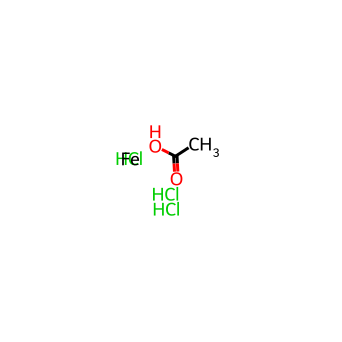 CC(=O)O.Cl.Cl.Cl.[Fe]